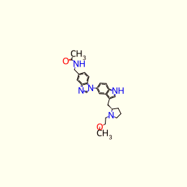 COCCN1CCC[C@@H]1Cc1c[nH]c2ccc(-n3cnc4cc(CNC(C)=O)ccc43)cc12